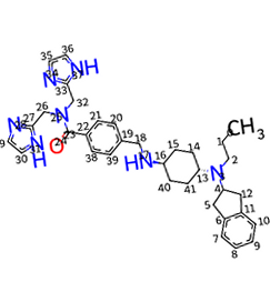 CCCN(C1Cc2ccccc2C1)[C@H]1CC[C@H](NCc2ccc(C(=O)N(Cc3ncc[nH]3)Cc3ncc[nH]3)cc2)CC1